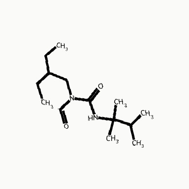 CCC(CC)CN([C]=O)C(=O)NC(C)(C)C(C)C